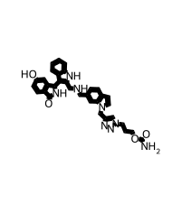 NC(=O)OCCCn1cc(Cn2ccc3ccc(CNCc4[nH]c5ccccc5c4C4NC(=O)c5ccc(O)cc54)cc32)nn1